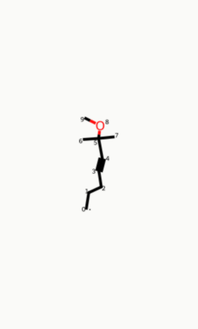 [CH2]CCC#CC(C)(C)OC